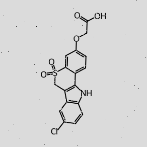 O=C(O)COc1ccc2c(c1)S(=O)(=O)Cc1c-2[nH]c2ccc(Cl)cc12